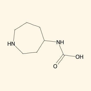 O=C(O)NC1CCCNCC1